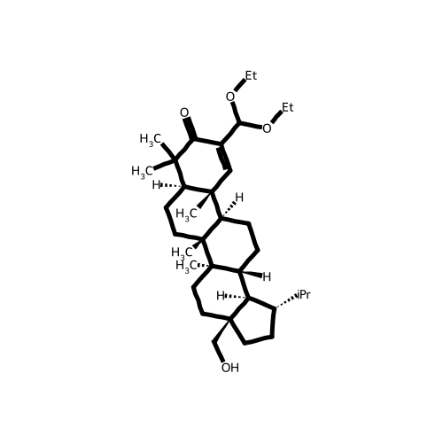 CCOC(OCC)C1=C[C@]2(C)[C@H]3CC[C@@H]4[C@H]5[C@H](C(C)C)CC[C@]5(CO)CC[C@@]4(C)[C@]3(C)CC[C@H]2C(C)(C)C1=O